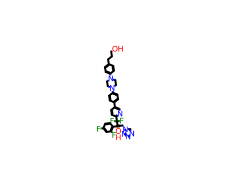 OCCCc1ccc(N2CCN(c3ccc(-c4ccc(C(F)(F)[C@](O)(Cn5cnnn5)c5ccc(F)cc5F)nc4)cc3)CC2)cc1